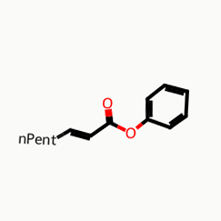 CCCCC/C=C/C(=O)Oc1ccccc1